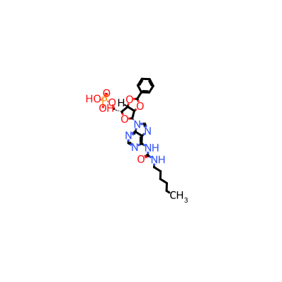 CCCCCCNC(=O)Nc1ncnc2c1ncn2[C@@H]1O[C@H](COP(=O)(O)O)[C@@H]2OC(c3ccccc3)OC21